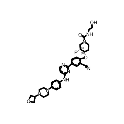 N#Cc1cc(-c2nccc(Nc3ccc(N4CCN(C5COC5)CC4)cc3)n2)ccc1O[C@H]1CCN(C(=O)NCCO)C[C@H]1F